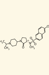 CC(C)N1CCC(N2CC[C@H](N(C)S(=O)(=O)c3ccc4cc(Cl)ccc4c3)C2=O)CC1